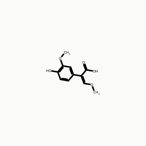 COC=C(C(=O)O)c1ccc(O)c(OC)c1